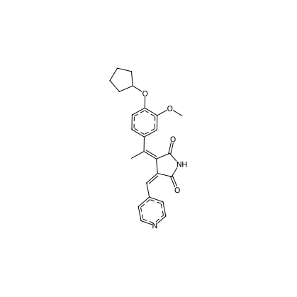 COc1cc(C(C)=C2C(=O)NC(=O)C2=Cc2ccncc2)ccc1OC1CCCC1